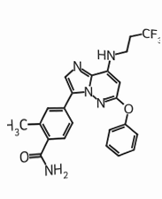 Cc1cc(-c2cnc3c(NCCC(F)(F)F)cc(Oc4ccccc4)nn23)ccc1C(N)=O